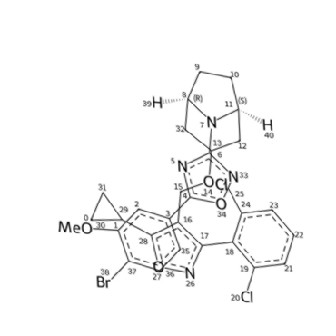 COc1cc(-c2nc(N3[C@@H]4CC[C@H]3CC(OCc3c(-c5c(Cl)cccc5Cl)noc3C3CC3)C4)no2)ccc1Br